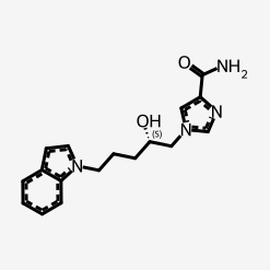 NC(=O)c1cn(C[C@@H](O)CCCn2ccc3ccccc32)cn1